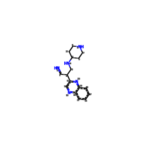 N=CC(CNC1CCNCC1)c1cnc2ccccc2n1